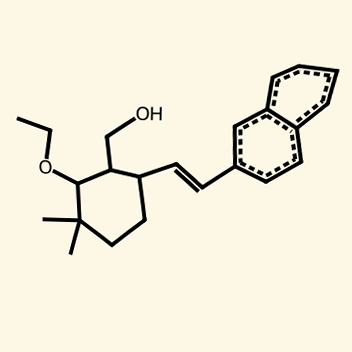 CCOC1C(CO)C(C=Cc2ccc3ccccc3c2)CCC1(C)C